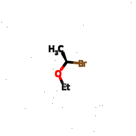 CCO[C@@H](C)Br